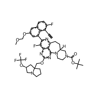 C#Cc1c(F)ccc2cc(OCOC)cc(-c3nc4c5c(nc(OCC67CCCN6C[C@@H](OC(F)(F)F)C7)nc5c3F)N3CCN(C(=O)OC(C)(C)C)C[C@H]3CC4)c12